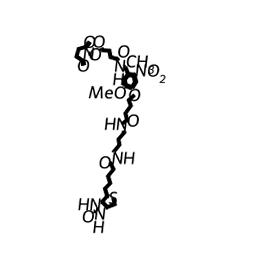 COc1cc(C(C)NC(=O)CCC(=O)ON2C(=O)CCC2=O)c([N+](=O)[O-])cc1OCCCC(=O)NCCCCNC(=O)CCCCC1SCC2NC(=O)NC21